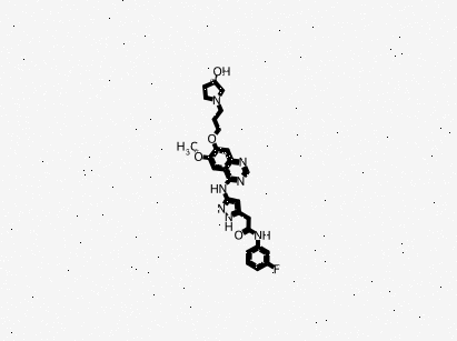 COc1cc2c(Nc3cc(CC(=O)Nc4cccc(F)c4)[nH]n3)ncnc2cc1OCCCN1CC[C@H](O)C1